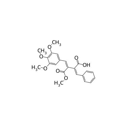 COC(=O)C(=Cc1cc(OC)c(OC)c(OC)c1)C(=Cc1ccccc1)C(=O)O